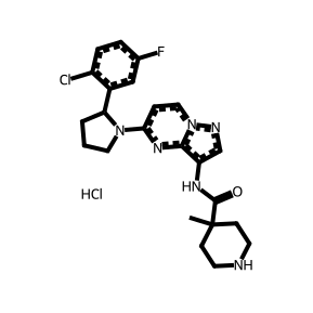 CC1(C(=O)Nc2cnn3ccc(N4CCCC4c4cc(F)ccc4Cl)nc23)CCNCC1.Cl